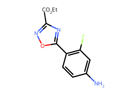 CCOC(=O)c1noc(-c2ccc(N)cc2F)n1